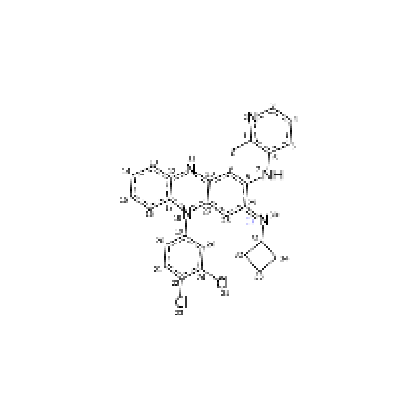 Cc1ncccc1Nc1cc2nc3ccccc3n(-c3ccc(Cl)c(Cl)c3)c-2c/c1=N\C1CCC1